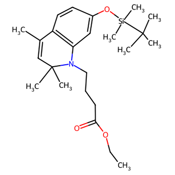 CCOC(=O)CCCN1c2cc(O[Si](C)(C)C(C)(C)C)ccc2C(C)=CC1(C)C